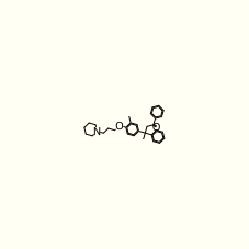 Cc1cc(C(C)(CC(=O)c2ccccc2)c2ccccc2)ccc1OCCCN1CCCCC1